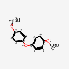 CCCCOc1ccc(Oc2ccc(OCCCC)cc2)cc1